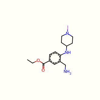 CCOC(=O)c1ccc(NC2CCN(I)CC2)c(CN)c1